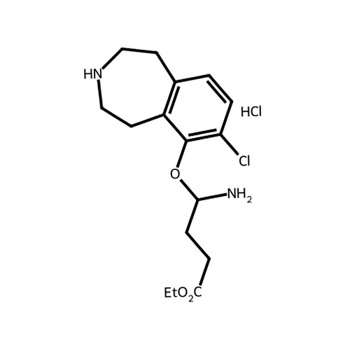 CCOC(=O)CCC(N)Oc1c(Cl)ccc2c1CCNCC2.Cl